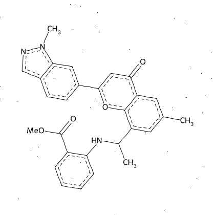 COC(=O)c1ccccc1NC(C)c1cc(C)cc2c(=O)cc(-c3ccc4cnn(C)c4c3)oc12